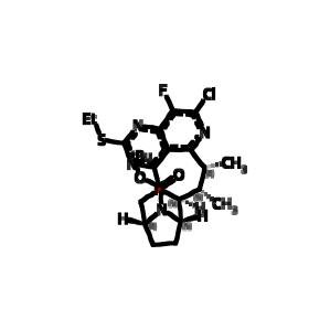 CCSc1nc2c3c(nc(Cl)c(F)c3n1)[C@H](C)[C@H](C)[C@H]1[C@@H]3CC[C@H](CN21)N3C(=O)OC(C)(C)C